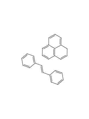 C(=Cc1ccccc1)c1ccccc1.C1=Cc2cccc3cccc(c23)C1